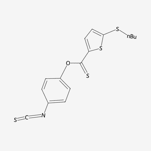 CCCCSc1ccc(C(=S)Oc2ccc(N=C=S)cc2)s1